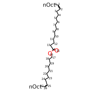 CCCCCCCC/C=C\CCCCCCCCCCCC(=O)OCCCCCCCC/C=C\CCCCCCCC